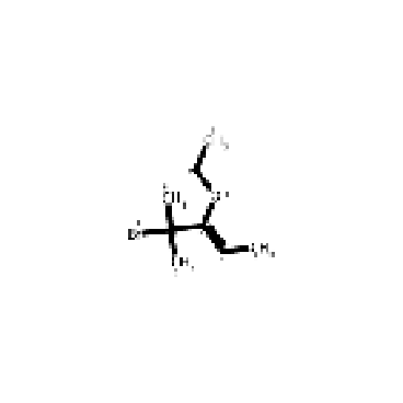 CC=C(OCC)C(C)(C)Br